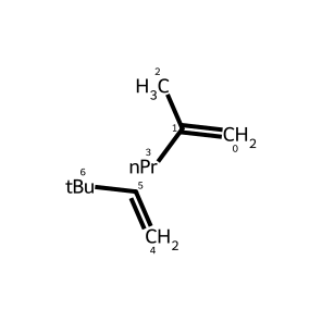 C=C(C)CCC.C=CC(C)(C)C